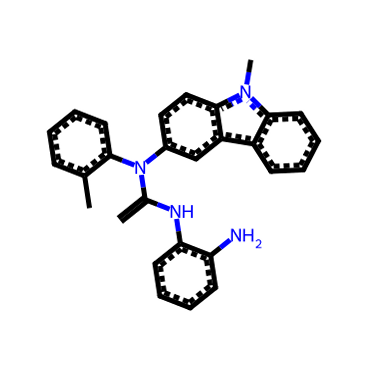 C=C(Nc1ccccc1N)N(c1ccc2c(c1)c1ccccc1n2C)c1ccccc1C